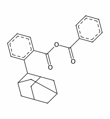 O=C(OC(=O)c1ccccc1C1C2CC3CC(C2)CC1C3)c1ccccc1